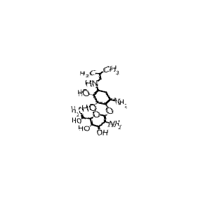 C=C(O)C1O[C@H](O[C@@H]2C(N)CC(NCC(C)C)[C@@H](O)[C@H]2O)[C@@H](N)C(O)[C@@H]1O